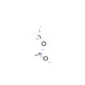 COCC(=O)Nc1cc(Oc2ccc(NC(=O)Nc3cc(C(C)(C)C)nn3-c3ccc(OC)cc3)c(Cl)c2Cl)ncn1